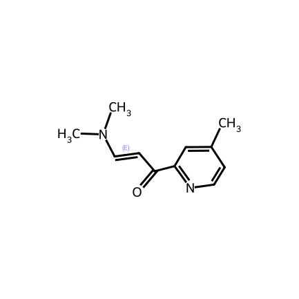 Cc1ccnc(C(=O)/C=C/N(C)C)c1